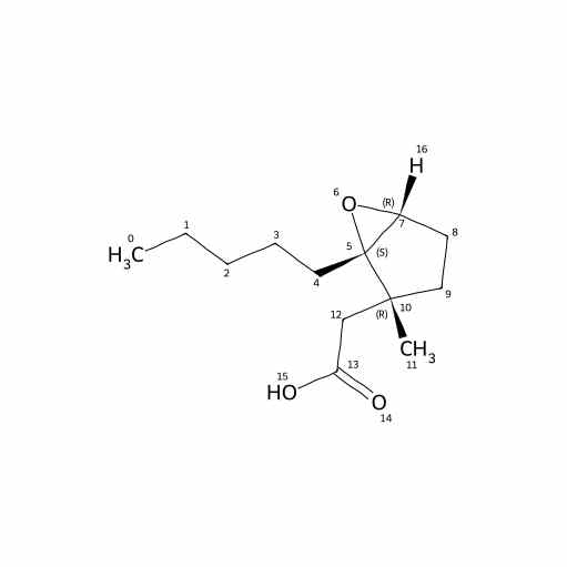 CCCCC[C@@]12O[C@@H]1CC[C@]2(C)CC(=O)O